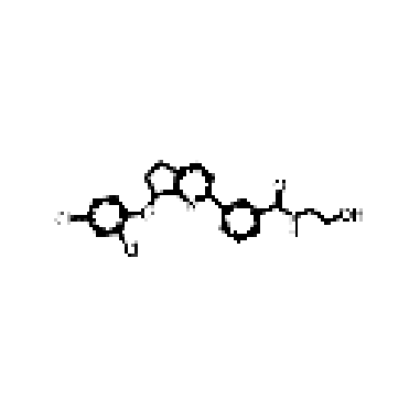 O=C(NCCO)c1cccc(-c2ccc3c(n2)C(Oc2ccc(Cl)cc2Cl)CC3)c1